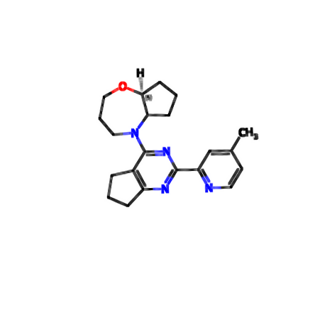 Cc1ccnc(-c2nc3c(c(N4CCCO[C@H]5CCCC54)n2)CCC3)c1